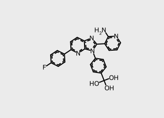 Nc1ncccc1-c1nc2ccc(-c3ccc(F)cc3)nc2n1-c1ccc(C(O)(O)O)cc1